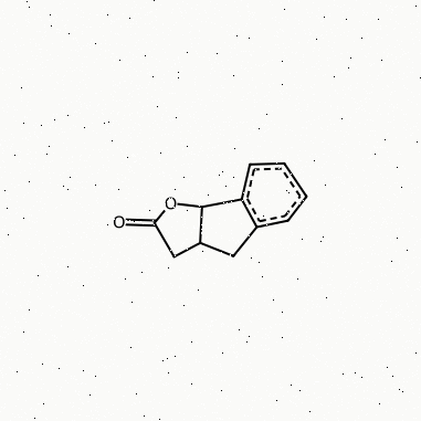 O=C1CC2Cc3ccccc3C2O1